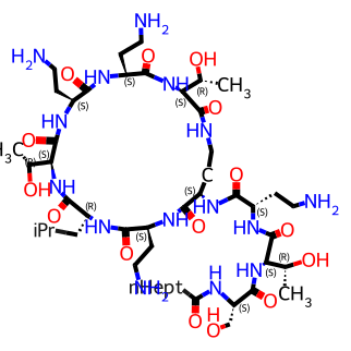 CCCCCCCC(=O)N[C@@H](CO)C(=O)N[C@H](C(=O)N[C@@H](CCN)C(=O)N[C@H]1CCNC(=O)[C@H]([C@@H](C)O)NC(=O)[C@H](CCN)NC(=O)[C@H](CCN)NC(=O)[C@H]([C@@H](C)O)NC(=O)[C@@H](CC(C)C)NC(=O)[C@H](CCN)NC1=O)[C@@H](C)O